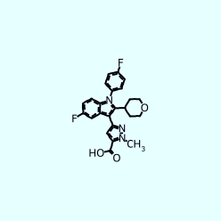 Cn1nc(-c2c(C3CCOCC3)n(-c3ccc(F)cc3)c3ccc(F)cc23)cc1C(=O)O